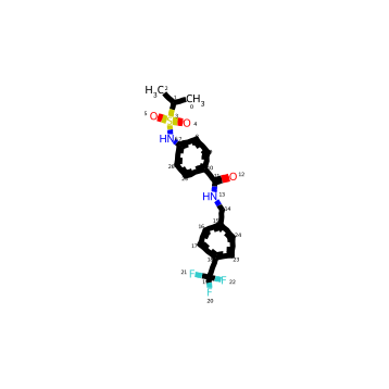 CC(C)S(=O)(=O)Nc1ccc(C(=O)NCc2ccc(C(F)(F)F)cc2)cc1